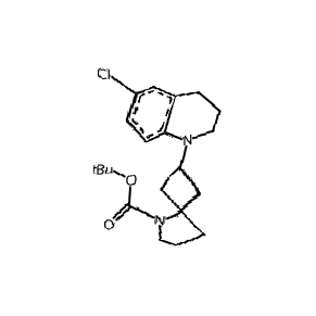 CC(C)(C)OC(=O)N1CCCC12CC(N1CCCc3cc(Cl)ccc31)C2